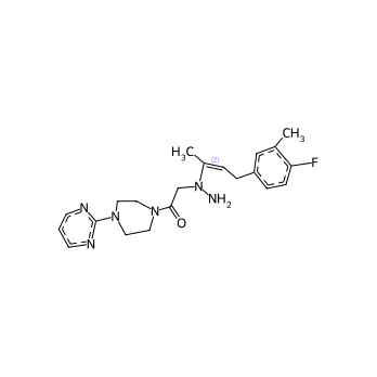 C/C(=C/Cc1ccc(F)c(C)c1)N(N)CC(=O)N1CCN(c2ncccn2)CC1